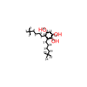 CC(C)(C)CCCCc1c(O)cc(O)c(O)c1CCCCC(C)(C)C